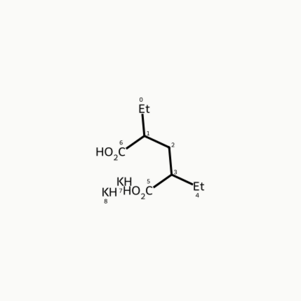 CCC(CC(CC)C(=O)O)C(=O)O.[KH].[KH]